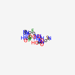 Cc1ncsc1-c1ccc(CNC(=O)[C@H]2C[C@H](O)CN2C(=O)C(NC(=O)CNC(=O)c2ccc(F)c(-c3ccc(N4C[C@@H](C)N(C)[C@@H](C)C4)c(NC(=O)c4c[nH]c(=O)cc4C(F)(F)F)c3)c2)C(C)(C)C)cc1